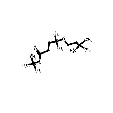 CC(C)(N)CCOC(C)(C)CCC(=O)OC(C)(C)C